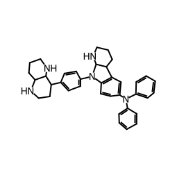 c1ccc(N(c2ccccc2)c2ccc3c(c2)C2CCCNC2N3c2ccc(C3CCNC4CCCNC43)cc2)cc1